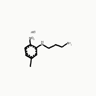 Cc1ccc([N+](=O)[O-])c(NCCCN)c1.Cl